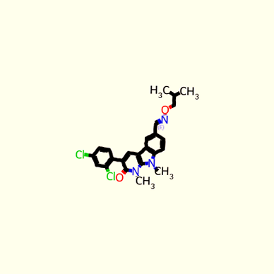 CC(C)CO/N=C/c1ccc2c(c1)c1cc(-c3ccc(Cl)cc3Cl)c(=O)n(C)c1n2C